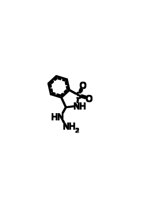 NNC1NS(=O)(=O)c2ccccc21